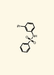 CC(C)c1cccc(NS(=O)(=O)c2ccccc2)c1